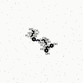 CC(Oc1ccc(/C=C/C(=O)OC[C@@H](C)[C@@H](O)C(O)C(O)[C@@H](C)Oc2c(-c3ccc(O)cc3)oc3cc(O)cc(O)c3c2=O)cc1)C(O)C(O)[C@H](O)[C@H](C)CO